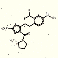 C[C@H]1CCCN1C(=O)c1nc(C(=O)O)sc1CCc1cnc(NC(C)(C)C)cc1C(F)F